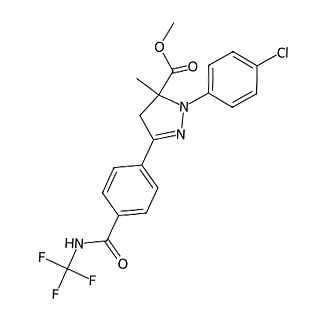 COC(=O)C1(C)CC(c2ccc(C(=O)NC(F)(F)F)cc2)=NN1c1ccc(Cl)cc1